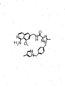 COc1cc(CNC(=O)c2nc(C)n(Cc3ccc(Cn4cc(C)cn4)cc3)n2)cc2ccnc(N)c12